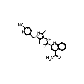 Cc1nn(Cc2ccc(C#N)nc2)c(C)c1NC(=O)c1cc(C(N)=O)c2ccccc2n1